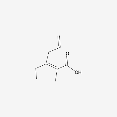 C=CCC(CC)=C(C)C(=O)O